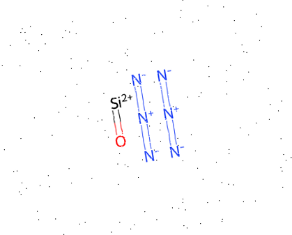 O=[Si+2].[N-]=[N+]=[N-].[N-]=[N+]=[N-]